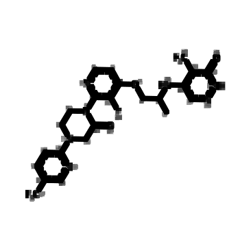 CC(COc1ccnc(N2CCN(c3ccc(C(F)(F)F)cn3)CC2=O)c1F)Nc1cn[nH]c(=O)c1C(F)(F)F